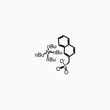 CCCC[N+](CCCC)(CCCC)CCCC.O=S(=O)([O-])Cc1ccc2ccccc2c1